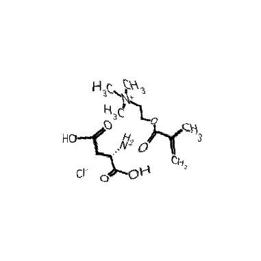 C=C(C)C(=O)OCC[N+](C)(C)C.N[C@@H](CC(=O)O)C(=O)O.[Cl-]